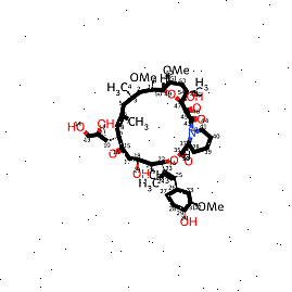 CO[C@H]1C[C@@H](C)C/C(C)=C/[C@@H](CC(O)CO)C(=O)C[C@H](O)[C@@H](C)[C@@H](/C(C)=C/[C@@H]2CC[C@@H](O)[C@H](OC)C2)OC(=O)[C@@H]2CCCCN2C(=O)C(=O)[C@]2(O)O[C@H]1[C@@H](OC)C[C@H]2C